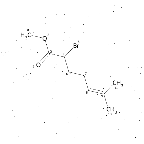 COC(=O)C(Br)CCC=C(C)C